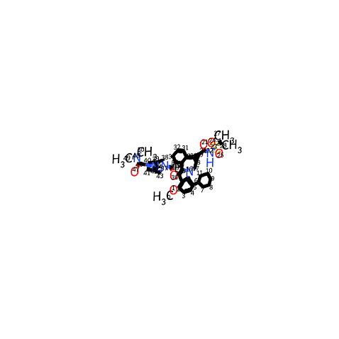 COc1ccc(C2CCCCC2)c2c1cc1n2CC2=C(C(=O)NS(=O)(=O)C(C)C)C2=C2C=CC[C@@H](C(=O)N3CC45CCC4(C3)CN(C(=O)N(C)C)C5)[C@@H]21